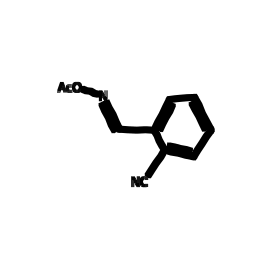 CC(=O)ON=Cc1ccccc1C#N